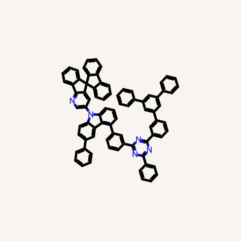 c1ccc(-c2cc(-c3ccccc3)cc(-c3cccc(-c4nc(-c5ccccc5)nc(-c5cccc(-c6cccc7c6c6cc(-c8ccccc8)ccc6n7-c6cnc7c(c6)C6(c8ccccc8-c8ccccc86)c6ccccc6-7)c5)n4)c3)c2)cc1